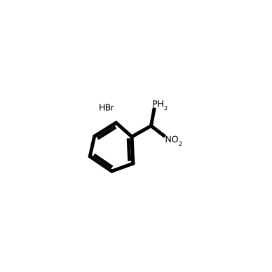 Br.O=[N+]([O-])C(P)c1ccccc1